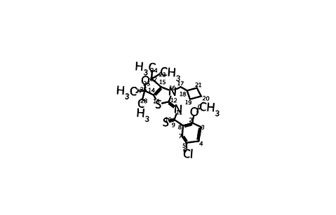 COc1ccc(Cl)cc1C(=S)N=c1sc2c(n1CC1CCC1)C(C)(C)OC2(C)C